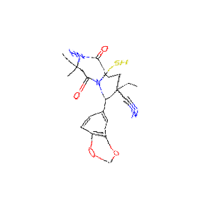 CC1(C)NC(=O)C2(S)CC(C)(C#N)C(c3ccc4c(c3)OCO4)N2C1=O